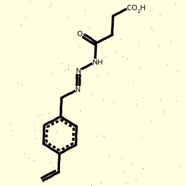 C=Cc1ccc(CN=NNC(=O)CCC(=O)O)cc1